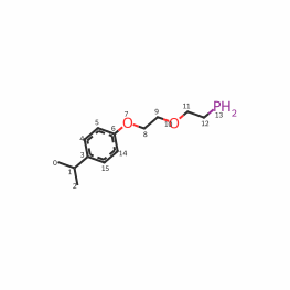 CC(C)c1ccc(OCCOCCP)cc1